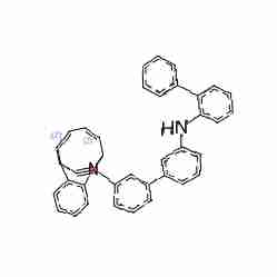 C1#CC2/C=C\C=C/C1c1ccccc1N2c1cccc(-c2cccc(Nc3ccccc3-c3ccccc3)c2)c1